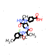 CCc1ccc(F)c(C(=O)N[C@@H](C(=O)N2CCC3(CC2)C(=O)NC(C)N3c2ccc(C(=O)O)cc2)C(C)C)c1